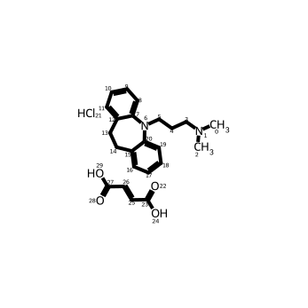 CN(C)CCCN1c2ccccc2CCc2ccccc21.Cl.O=C(O)/C=C/C(=O)O